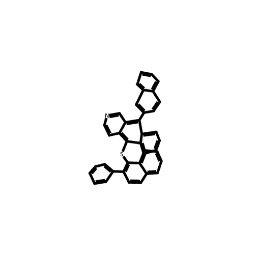 c1ccc(-c2ccc3ccccc3c2Sc2c3ccccc3c(-c3ccc4ccccc4c3)c3cnccc23)cc1